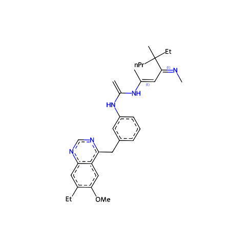 C=C(N/C(C)=C/C(=N\C)C(C)(CC)CCC)Nc1cccc(Cc2ncnc3cc(CC)c(OC)cc23)c1